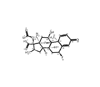 CCC(=O)O[C@]1(C(=O)S)C(C)C[C@H]2[C@@H]3C[C@H](F)C4=CC(=O)C=C[C@]4(C)[C@@]3(F)[C@H](O)C[C@@]21C